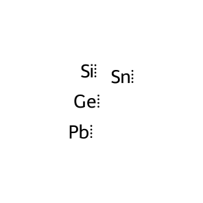 [Ge].[Pb].[Si].[Sn]